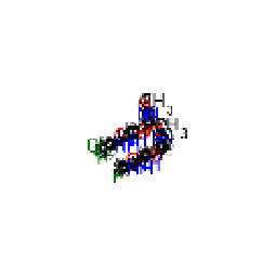 COc1cnc2ccc(Oc3cccc(NC(=O)Nc4ccc(Cl)c(C(F)(F)F)c4)c3)cc2n1.COc1cnc2ccc(Oc3cccc(NC(=O)Nc4cccc(F)c4)c3)cc2n1